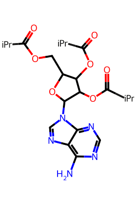 CC(C)C(=O)OCC1OC(n2cnc3c(N)ncnc32)C(OC(=O)C(C)C)C1OC(=O)C(C)C